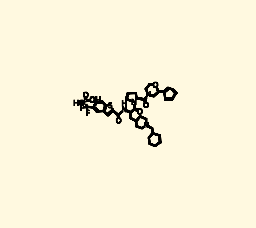 O=C(NC(CC1CCN(CC2CCCCC2)CC1)C(=O)N1CCCC1C(=O)N1CCOC(c2ccccc2)C1)c1cc2cc(C(F)(F)P(=O)(O)O)ccc2s1